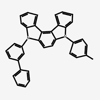 Cc1ccc(-n2c3ccccc3c3c4c5ccccc5n(-c5cccc(-c6ccccc6)c5)c4ccc32)cc1